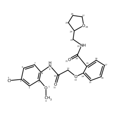 COc1cc(Cl)ccc1NC(=O)COc1ccccc1C(=O)NCC1CCCO1